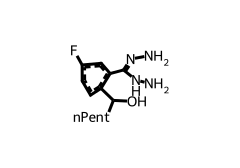 CCCCCC(O)c1ccc(F)cc1/C(=N/N)NN